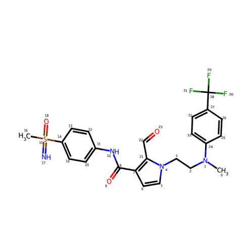 CN(CCn1ccc(C(=O)Nc2ccc(S(C)(=N)=O)cc2)c1C=O)c1ccc(C(F)(F)F)cc1